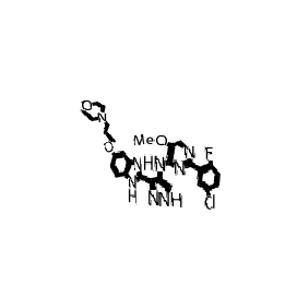 COc1cnc(-c2cc(Cl)ccc2F)nc1Nc1c[nH]nc1-c1nc2cc(OCCCN3CCOCC3)ccc2[nH]1